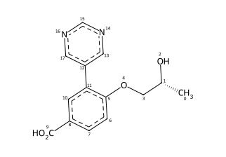 C[C@@H](O)COc1ccc(C(=O)O)cc1-c1cncnc1